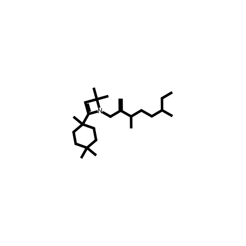 C=C(CN1C(C2(C)CCC(C)(C)CC2)=CC1(C)C)C(C)CCC(C)CC